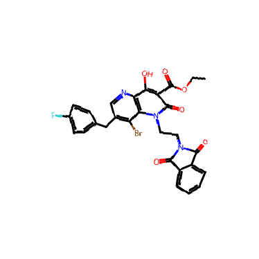 CCOC(=O)c1c(O)c2ncc(Cc3ccc(F)cc3)c(Br)c2n(CCN2C(=O)c3ccccc3C2=O)c1=O